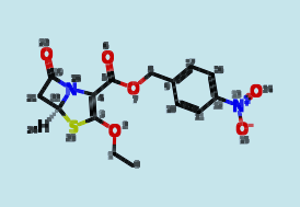 CCOC1=C(C(=O)OCc2ccc([N+](=O)[O-])cc2)N2C(=O)C[C@@H]2S1